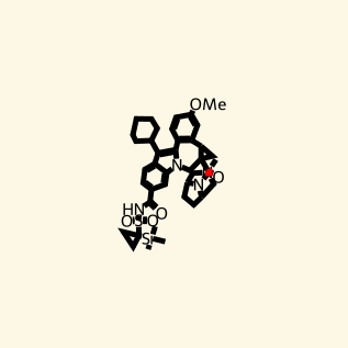 COc1ccc2c(c1)C1CC1(C(=O)N1C3CCC1CN(C)C3)Cn1c-2c(C2CCCCC2)c2ccc(C(=O)NS(=O)(=O)C3([Si](C)(C)C)CC3)cc21